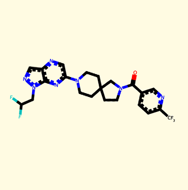 O=C(c1ccc(C(F)(F)F)nc1)N1CCC2(CCN(c3cnc4cnn(CC(F)F)c4n3)CC2)C1